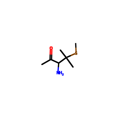 CSC(C)(C)C(N)C(C)=O